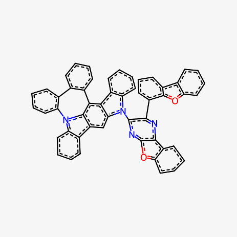 c1ccc2c(c1)-c1ccccc1-n1c3ccccc3c3cc4c(c-2c31)c1ccccc1n4-c1nc2oc3ccccc3c2nc1-c1cccc2c1oc1ccccc12